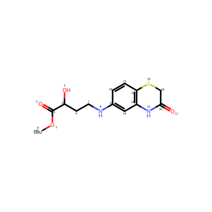 CC(C)(C)OC(=O)C(O)CCNc1ccc2c(c1)NC(=O)CS2